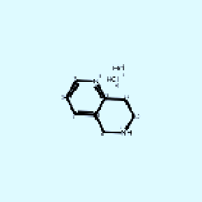 Cl.Cl.c1cnc2c(c1)CNCC2